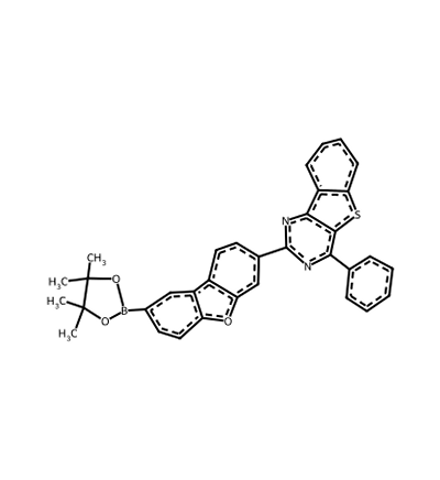 CC1(C)OB(c2ccc3oc4cc(-c5nc(-c6ccccc6)c6sc7ccccc7c6n5)ccc4c3c2)OC1(C)C